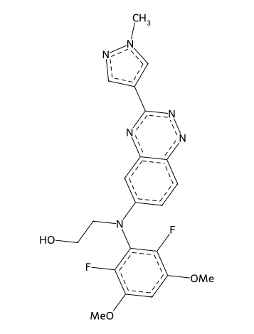 COc1cc(OC)c(F)c(N(CCO)c2ccc3nnc(-c4cnn(C)c4)nc3c2)c1F